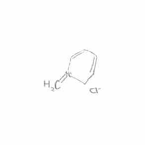 C=[N+]1C=CC=CC1.[Cl-]